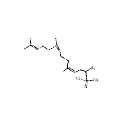 CC(=O)C(CC=C(C)CCC=C(C)CCC=C(C)C)P(=O)(O)O